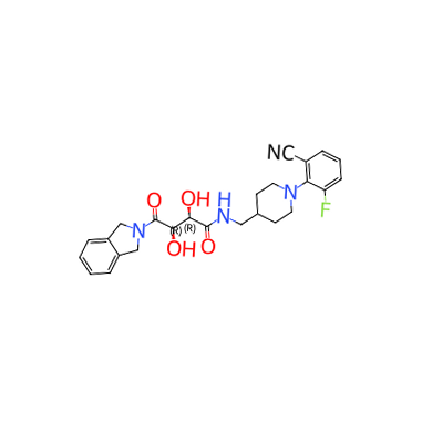 N#Cc1cccc(F)c1N1CCC(CNC(=O)[C@H](O)[C@@H](O)C(=O)N2Cc3ccccc3C2)CC1